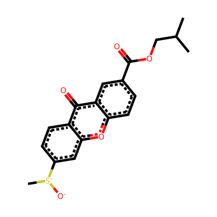 CC(C)COC(=O)c1ccc2oc3cc([S+](C)[O-])ccc3c(=O)c2c1